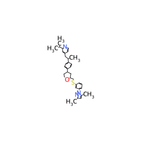 Cc1cc(C)n(-c2cccc(SCC3CC(c4ccc(C(C)Cc5ccnc(C(C)C)c5)cc4)CCO3)c2)n1